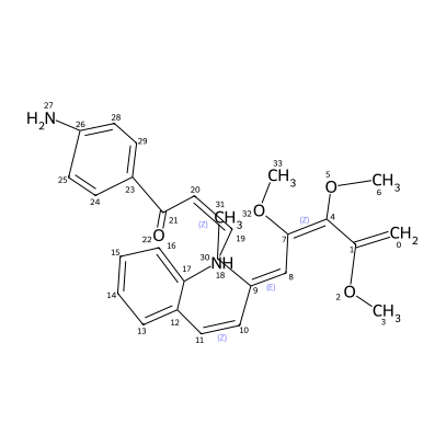 C=C(OC)\C(OC)=C(/C=C(/C=C\c1ccccc1N/C=C\C(=O)c1ccc(N)cc1)CC)OC